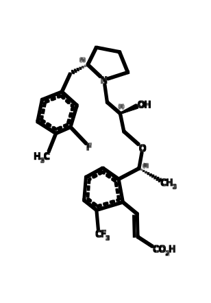 Cc1ccc(C[C@@H]2CCCN2C[C@@H](O)CO[C@H](C)c2cccc(C(F)(F)F)c2C=CC(=O)O)cc1F